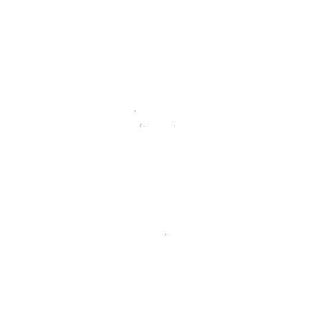 COC1=C2CC(C)=CC3=C4N[C@@H]5CCCC[C@@H]5NC4c4c(O)cc(CO)c5c4c3c2c2c(c(O)cc(CO)c25)C1=O